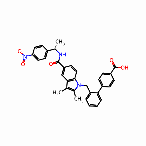 Cc1c(C)n(Cc2ccccc2-c2ccc(C(=O)O)cc2)c2ccc(C(=O)N[C@@H](C)c3ccc([N+](=O)[O-])cc3)cc12